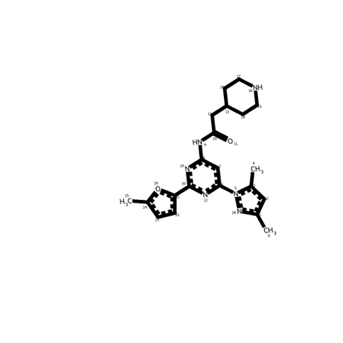 Cc1cc(C)n(-c2cc(NC(=O)CC3CCNCC3)nc(-c3ccc(C)o3)n2)n1